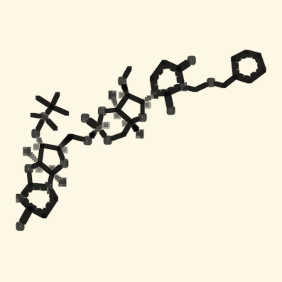 CO[C@@H]1[C@@H]2O[P@](=O)(OC[C@H]3O[C@@H]4[C@@H](Oc5nc(=O)ccn54)[C@@H]3O[Si](C)(C)C(C)(C)C)OC[C@H]2O[C@H]1n1ccc(=O)n(COCc2ccccc2)c1=O